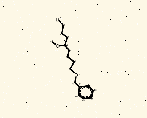 [Li][CH2]CCC(CCCCOCc1ccccc1)OC